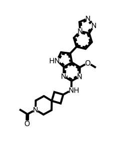 COc1nc(NC2CC3(CCN(C(C)=O)CC3)C2)nc2[nH]cc(-c3ccc4nncn4c3)c12